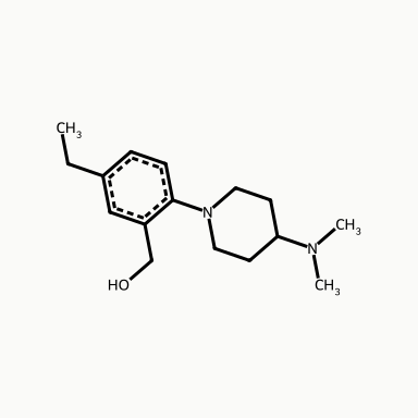 CCc1ccc(N2CCC(N(C)C)CC2)c(CO)c1